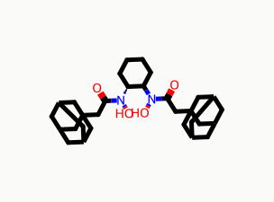 O=C(CC12CC3CC(CC(C3)C1)C2)N(O)C1CCCC[C@H]1N(O)C(=O)CC12CC3CC(CC(C3)C1)C2